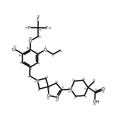 CCOc1cc(CN2CC3(CC(N4CCC(C)(C(=O)O)CC4)=NO3)C2)cc(Cl)c1OCC(F)(F)F